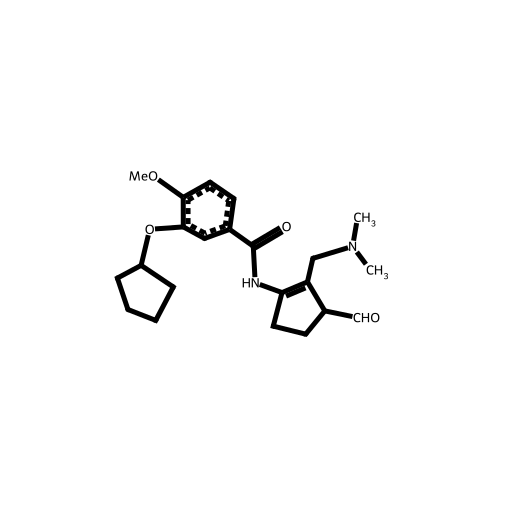 COc1ccc(C(=O)NC2=C(CN(C)C)C(C=O)CC2)cc1OC1CCCC1